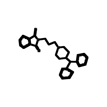 O=C1c2ccccc2C(=O)N1CCCN1CCC(C(c2ccccc2)c2ccccc2)CC1